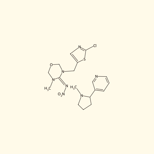 CN1CCCC1c1cccnc1.CN1COCN(Cc2cnc(Cl)s2)C1=N[N+](=O)[O-]